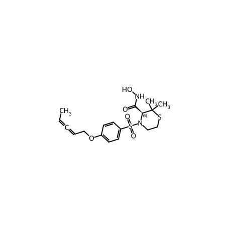 CC=C=CCOc1ccc(S(=O)(=O)N2CCSC(C)(C)[C@@H]2C(=O)NO)cc1